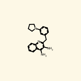 Nc1c(Cc2cccc(N3CCCC3)c2)nc2ccccc2c1N